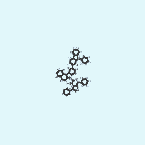 C1=C(c2ccccc2)C2NC(n3c4ccc(-c5ccc6c7ccccc7n(-c7ccccc7)c6c5)cc4c4c5ccccc5ccc43)=NC(c3ccccc3)=C2S1